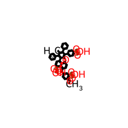 COc1ccc(C(=O)c2ccc(Oc3c(-c4ccc(S(=O)(=O)O)cc4)c(-c4ccccc4)c(C)c(-c4ccccc4)c3-c3ccc(S(=O)(=O)O)cc3)cc2)cc1S(=O)(=O)O